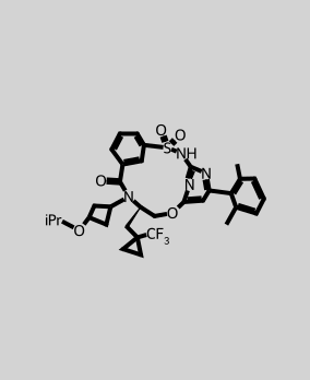 Cc1cccc(C)c1-c1cc2nc(n1)NS(=O)(=O)c1cccc(c1)C(=O)N(C1CC(OC(C)C)C1)[C@H](CC1(C(F)(F)F)CC1)CO2